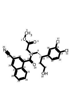 COC(=O)CN(C[C@@H](CCO)c1ccc(Cl)c(Cl)c1)C(=O)c1cc(C#N)cc2ccccc12